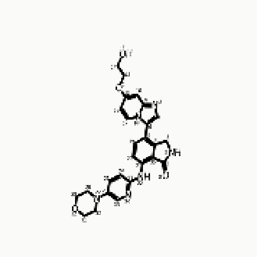 O=C1NCc2c(-c3cnc4cc(OCCO)ccn34)ccc(Nc3ccc(N4CCOCC4)cn3)c21